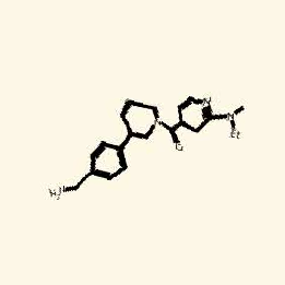 CCN(C)c1cc(C(=O)N2CCCC(c3ccc(CN)cc3)C2)ccn1